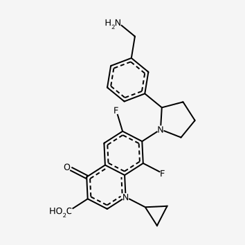 NCc1cccc(C2CCCN2c2c(F)cc3c(=O)c(C(=O)O)cn(C4CC4)c3c2F)c1